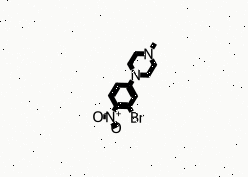 CN1CCN(c2ccc([N+](=O)[O-])c(Br)c2)CC1